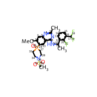 COc1cc2nc(C)nc(N[C@H](C)c3cccc(C(F)F)c3F)c2cc1P1(=O)CCN(S(C)(=O)=O)CC1